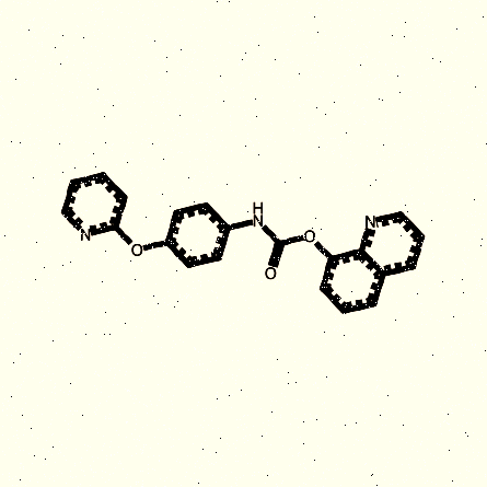 O=C(Nc1ccc(Oc2ccccn2)cc1)Oc1cccc2cccnc12